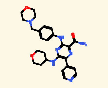 NC(=O)c1nc(-c2ccncc2)c(NC2CCOCC2)nc1Nc1ccc(CN2CCOCC2)cc1